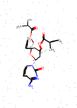 C=C[C@]1(COC(=O)C(C)C)O[C@@H](n2ccc(N)nc2=O)C[C@]1(F)OC(=O)C(C)C